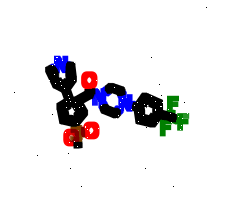 CS(=O)(=O)c1ccc(-c2ccncc2)c(C(=O)N2CCN(c3ccc(C(F)(F)F)cc3)CC2)c1